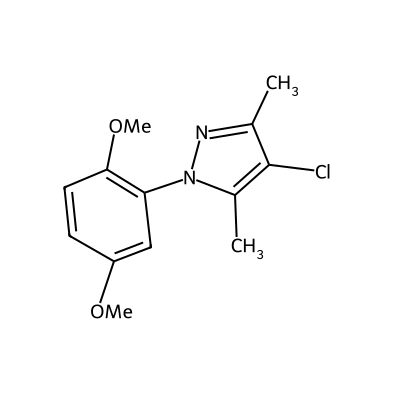 COc1ccc(OC)c(-n2nc(C)c(Cl)c2C)c1